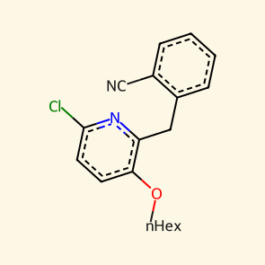 CCCCCCOc1ccc(Cl)nc1Cc1ccccc1C#N